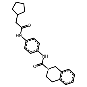 O=C(CC1CCCC1)Nc1ccc(NC(=O)N2CCc3ccccc3C2)cc1